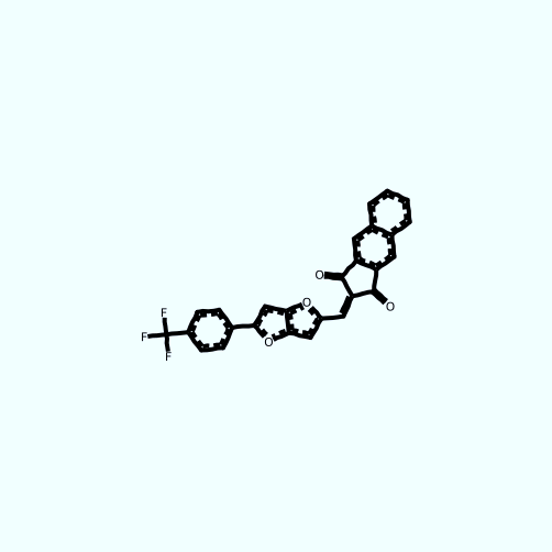 O=C1C(=Cc2cc3oc(-c4ccc(C(F)(F)F)cc4)cc3o2)C(=O)c2cc3ccccc3cc21